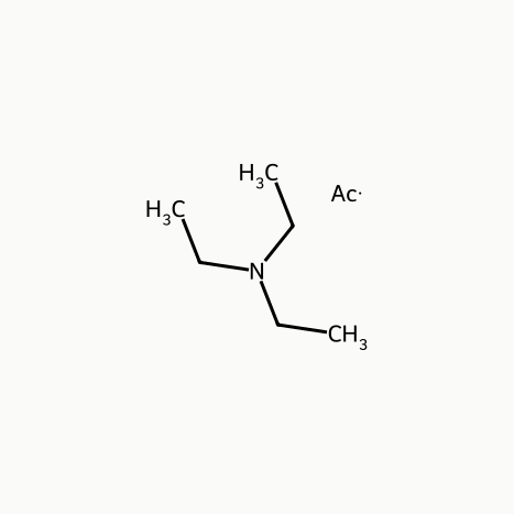 CCN(CC)CC.[Ac]